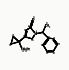 CCOC(=O)C1(C2=CC(=O)N(C(C)c3ccccc3)C2)CC1